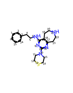 c1ccc(CCNc2nc(N3CCSCC3)nc3c2CCNCC3)cc1